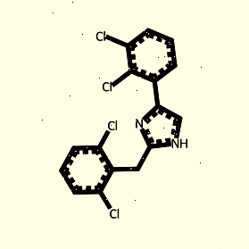 Clc1cccc(-c2c[nH]c(Cc3c(Cl)cccc3Cl)n2)c1Cl